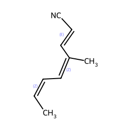 C\C=C/C=C(C)\C=C\C#N